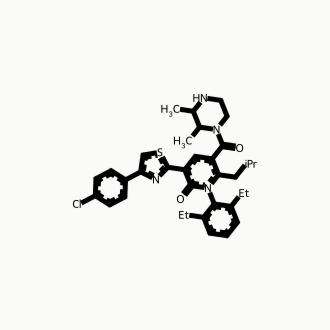 CCc1cccc(CC)c1-n1c(CC(C)C)c(C(=O)N2CCNC(C)C2C)cc(-c2nc(-c3ccc(Cl)cc3)cs2)c1=O